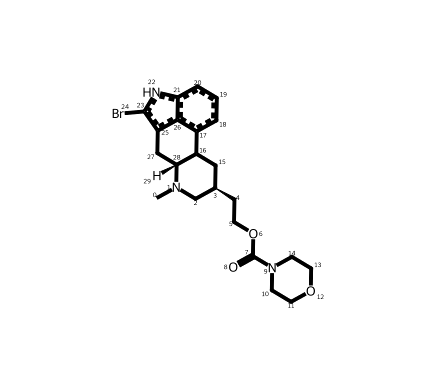 CN1C[C@H](CCOC(=O)N2CCOCC2)CC2c3cccc4[nH]c(Br)c(c34)C[C@H]21